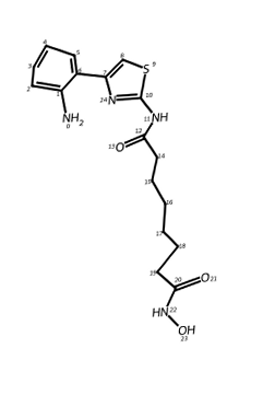 Nc1ccccc1-c1csc(NC(=O)CCCCCCC(=O)NO)n1